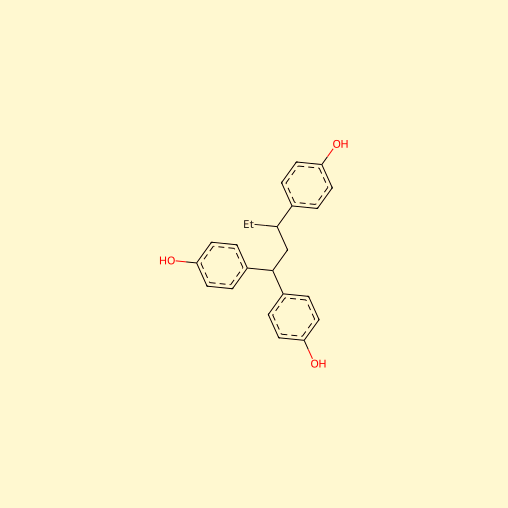 CCC(CC(c1ccc(O)cc1)c1ccc(O)cc1)c1ccc(O)cc1